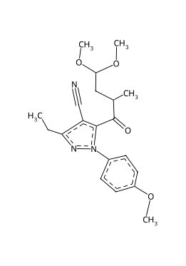 CCc1nn(-c2ccc(OC)cc2)c(C(=O)C(C)CC(OC)OC)c1C#N